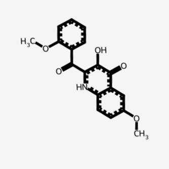 COc1ccc2[nH]c(C(=O)c3ccccc3OC)c(O)c(=O)c2c1